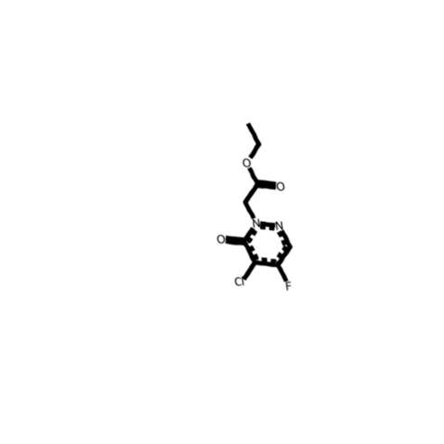 CCOC(=O)Cn1ncc(F)c(Cl)c1=O